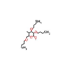 COC1OC(COCCC[SiH3])C(C)C(OCCC[SiH3])C1OCCC[SiH3]